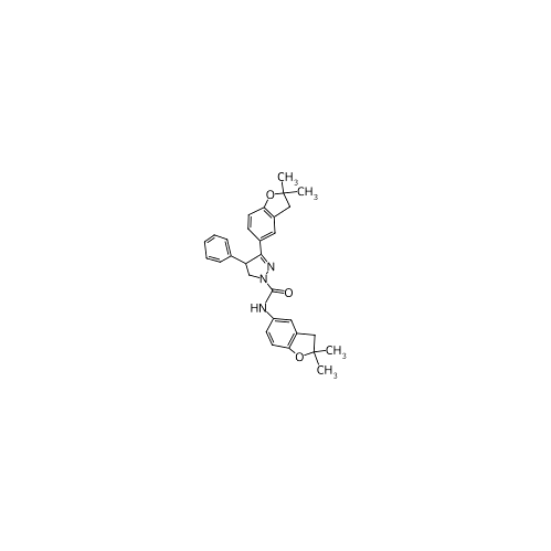 CC1(C)Cc2cc(NC(=O)N3CC(c4ccccc4)C(c4ccc5c(c4)CC(C)(C)O5)=N3)ccc2O1